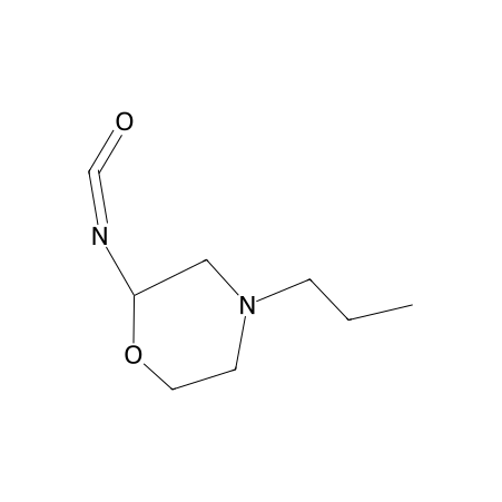 CCCN1CCOC(N=C=O)C1